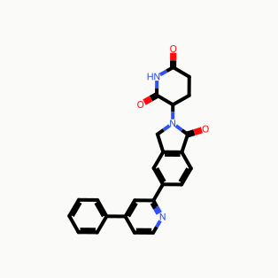 O=C1CCC(N2Cc3cc(-c4cc(-c5ccccc5)ccn4)ccc3C2=O)C(=O)N1